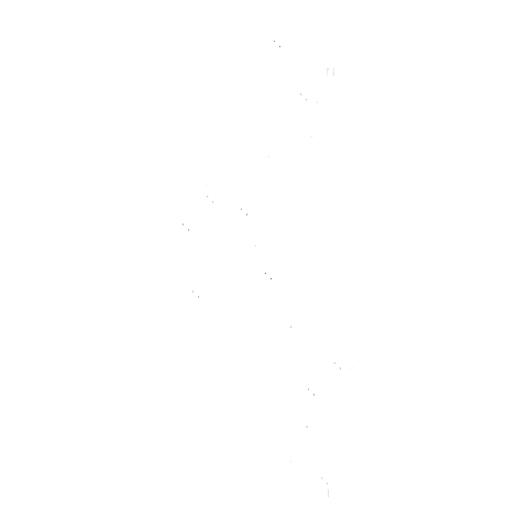 c1nc2ccc(Cn3nnc4ncc(-c5cnn(C6CNC6)c5)nc43)cn2n1